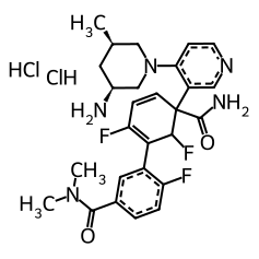 C[C@@H]1C[C@H](N)CN(c2ccncc2C2(C(N)=O)C=CC(F)=C(c3cc(C(=O)N(C)C)ccc3F)C2F)C1.Cl.Cl